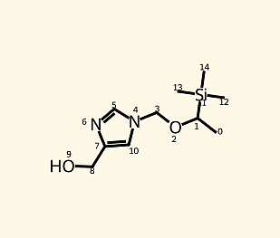 CC(OCn1cnc(CO)c1)[Si](C)(C)C